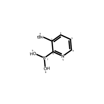 CC(C)(C)c1cccnc1B(O)O